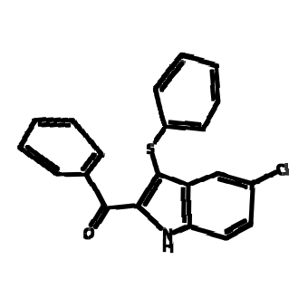 O=C(c1ccccc1)c1[nH]c2ccc(Cl)cc2c1Sc1ccccc1